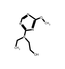 CCN(CCO)c1ncnc(OC)n1